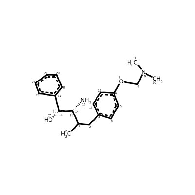 CC(Cc1ccc(OCN(C)C)cc1)[C@@H](N)[C@H](O)c1ccccc1